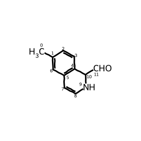 Cc1ccc2c(c1)C=CNC2C=O